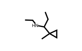 CCNC(CC)C1(C)CC1